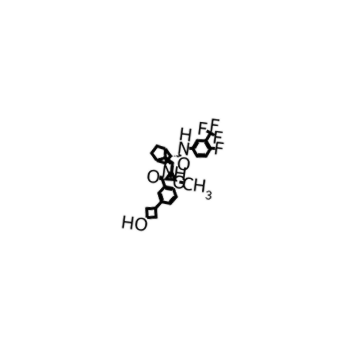 COc1ccc(C2CC(O)C2)cc1C(=O)N[C@@H]1C2CCC(/C2=C/C2CC2)[C@@H]1C(=O)Nc1ccc(F)c(C(F)(F)F)c1